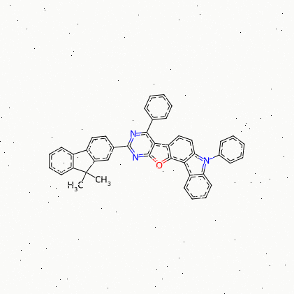 CC1(C)c2ccccc2-c2ccc(-c3nc(-c4ccccc4)c4c(n3)oc3c4ccc4c3c3ccccc3n4-c3ccccc3)cc21